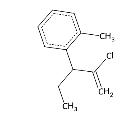 C=C(Cl)C(CC)c1ccccc1C